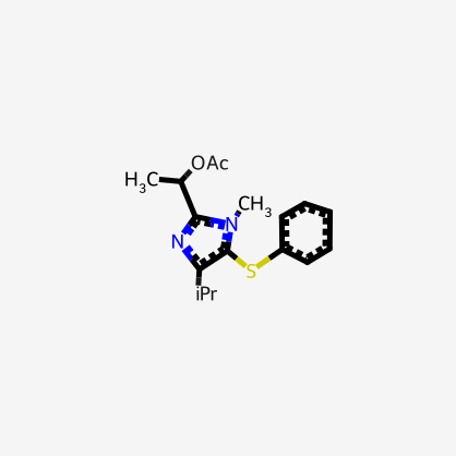 CC(=O)OC(C)c1nc(C(C)C)c(Sc2ccccc2)n1C